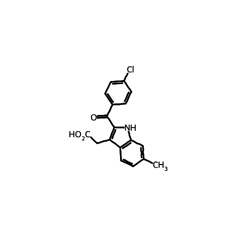 Cc1ccc2c(CC(=O)O)c(C(=O)c3ccc(Cl)cc3)[nH]c2c1